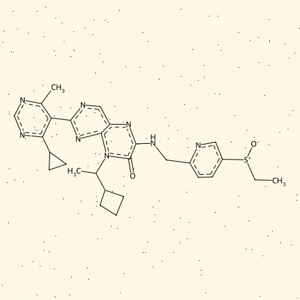 CC[S+]([O-])c1ccc(CNc2nc3cnc(-c4c(C)ncnc4C4CC4)nc3n(C(C)C3CCC3)c2=O)nc1